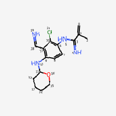 C=C(C)C(=N)Nc1ccc(NC2CCCCO2)c(C=N)c1Cl